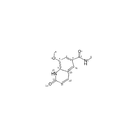 CNC(=O)c1cc(OC)c2[nH]c(=O)ccc2c1